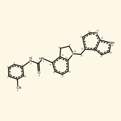 N#Cc1cccc(NC(=O)Nc2cccc3c2CCN3Cc2ccnc3[nH]ccc23)c1